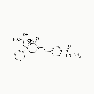 CC(C)(O)C[C@]1(c2ccccc2)CCN(CCc2ccc(C(=O)NN)cc2)C(=O)O1